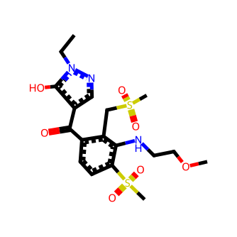 CCn1ncc(C(=O)c2ccc(S(C)(=O)=O)c(NCCOC)c2CS(C)(=O)=O)c1O